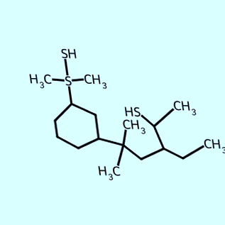 CCC(CC(C)(C)C1CCCC(S(C)(C)S)C1)C(C)S